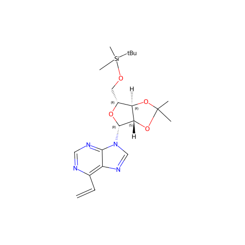 C=Cc1ncnc2c1ncn2[C@@H]1O[C@H](CO[Si](C)(C)C(C)(C)C)[C@H]2OC(C)(C)O[C@@H]21